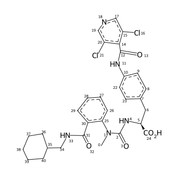 CN(C(=O)N[C@@H](Cc1ccc(NC(=O)c2c(Cl)cncc2Cl)cc1)C(=O)O)c1ccccc1C(=O)NCC1CCCCC1